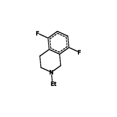 CCN1CCc2c(F)ccc(F)c2C1